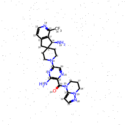 Nc1nc(N2CCC3(CC2)Cc2ccnc(C(F)(F)F)c2[C@H]3N)cnc1C(=O)N1CCCn2nccc21